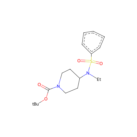 CCN(C1CCN(C(=O)OC(C)(C)C)CC1)S(=O)(=O)c1ccccc1